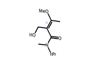 CCCN(C)C(=O)/C(CO)=C(\C)OC